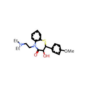 CCN(CC)CCN1C(=O)C(O)C(c2ccc(OC)cc2)Sc2ccccc21